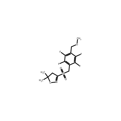 COCc1c(F)c(F)c(CS(=O)(=O)C2=NOC(C)(C)C2)c(F)c1F